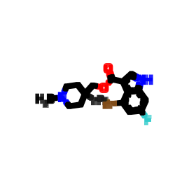 BN1CCC(CCC)(COC(=O)c2c[nH]c3cc(F)cc(Br)c23)CC1